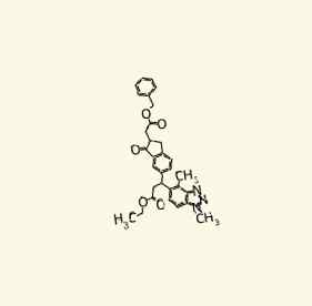 CCOC(=O)CC(c1ccc2c(c1)C(=O)C(CC(=O)OCc1ccccc1)C2)c1ccc2c(nnn2C)c1C